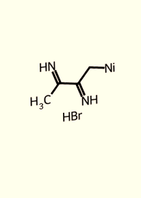 Br.CC(=N)C(=N)[CH2][Ni]